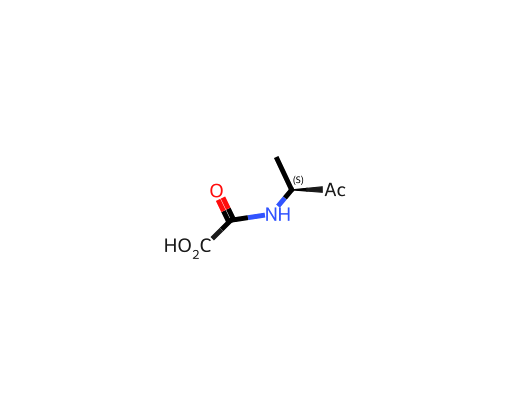 CC(=O)[C@H](C)NC(=O)C(=O)O